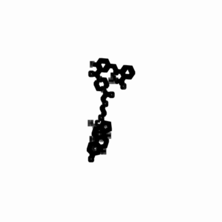 C[C@]12CCC(=O)C[C@@H]1CC[C@@H]1[C@@H]2CC[C@]2(C)[C@@H](OCCOCC(=O)N3CCN(C(=O)c4cc(Cc5n[nH]c(=O)c6ccccc56)ccc4F)CC3)CC[C@@H]12